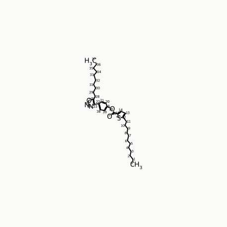 CCCCCCCCCCCCc1ccc(C(=O)Oc2ccc(-c3nnoc3CCCCCCCCCC)cc2)s1